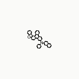 c1ccc(N(c2ccc3ccccc3c2)c2ccc3c4ccccc4c4c(ccc5oc6ccccc6c54)c3c2)cc1